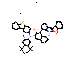 Cc1cc2c(cc1N1c3cc4c(cc3Bc3c1cc1ccccc1c3-c1cccc3c1[nH]c1oc5ccccc5c13)sc1ccccc14)C(C)(C)CCC2(C)C